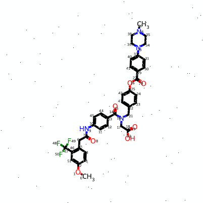 COc1ccc(CC(=O)Nc2ccc(C(=O)N(CC(=O)O)Cc3ccc(OC(=O)c4ccc(N5CCN(C)CC5)cc4)cc3)cc2)c(C(F)(F)F)c1